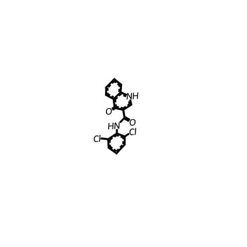 O=C(Nc1c(Cl)cccc1Cl)c1c[nH]c2ccccc2c1=O